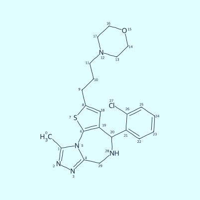 Cc1nnc2n1-c1sc(CCCN3CCOCC3)cc1C(c1ccccc1Cl)NC2